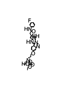 CCCN(CCCOc1ccc2c(Nc3cc(CC(=O)Nc4cccc(F)c4)[nH]n3)ncnc2c1)OP(=O)(O)OCC